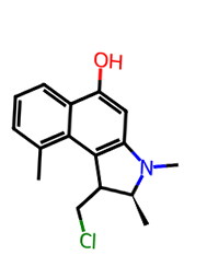 Cc1cccc2c(O)cc3c(c12)C(CCl)[C@H](C)N3C